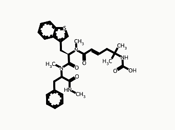 CNC(=O)C(Cc1ccccc1)N(C)C(=O)[C@@H](Cc1csc2ccccc12)N(C)C(=O)C=CCC(C)(C)NC(=O)O